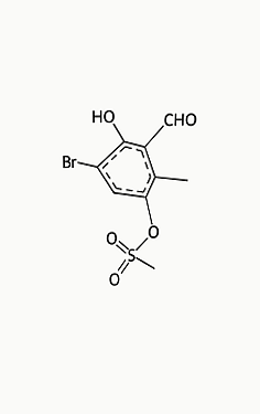 Cc1c(OS(C)(=O)=O)cc(Br)c(O)c1C=O